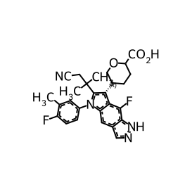 Cc1cc(-n2c(C(C)(C)CC#N)c([C@H]3CCC(C(=O)O)OC3)c3c(F)c4[nH]ncc4cc32)ccc1F